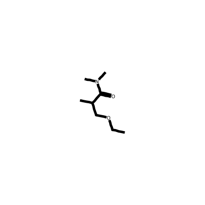 CCOCC(C)C(=O)N(C)C